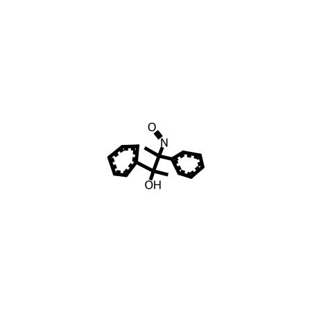 CC(O)(c1ccccc1)C(C)(N=O)c1ccccc1